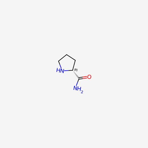 NC(=O)[C@H]1CCCN1